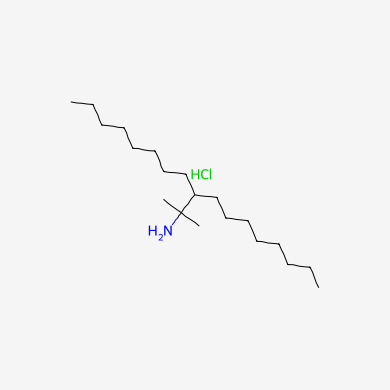 CCCCCCCCC(CCCCCCCC)C(C)(C)N.Cl